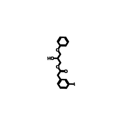 O=C(Cc1cccc(I)c1)OCC(O)COc1ccccc1